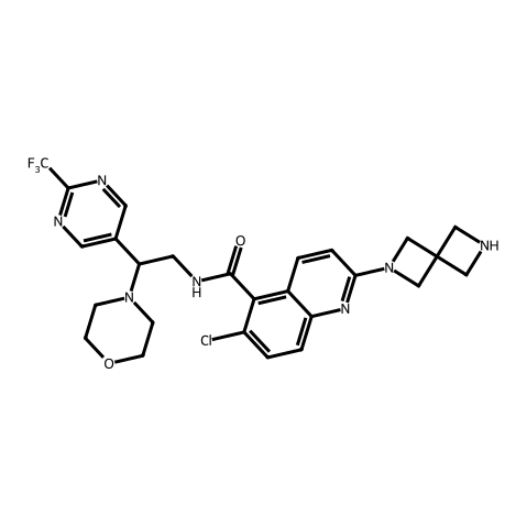 O=C(NCC(c1cnc(C(F)(F)F)nc1)N1CCOCC1)c1c(Cl)ccc2nc(N3CC4(CNC4)C3)ccc12